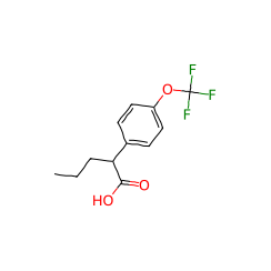 CCCC(C(=O)O)c1ccc(OC(F)(F)F)cc1